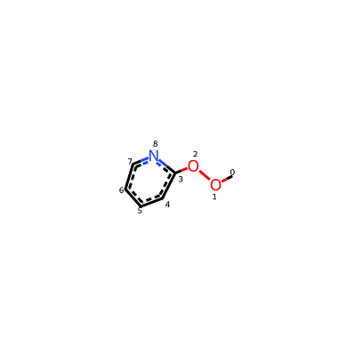 COOc1ccccn1